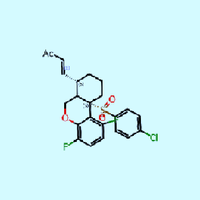 CC(=O)/C=C/[C@@H]1CCC[C@@]2(S(=O)(=O)c3ccc(Cl)cc3)c3c(F)ccc(F)c3OCC12